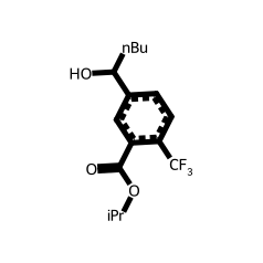 CCCCC(O)c1ccc(C(F)(F)F)c(C(=O)OC(C)C)c1